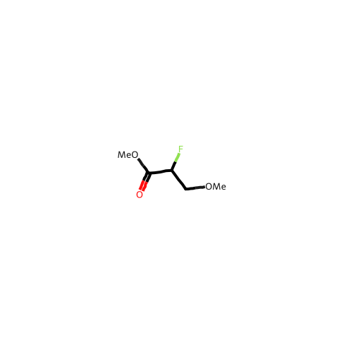 COCC(F)C(=O)OC